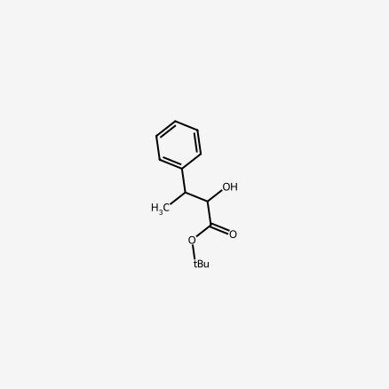 CC(c1ccccc1)C(O)C(=O)OC(C)(C)C